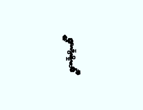 O=C(/C=C/C(=O)NCCCOc1cccc(CN2CCCC2)c1)NCCCOc1cccc(CN2CCCC2)c1